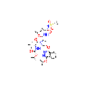 C=CC1C[C@]1(NC(=O)[C@@H]1C[C@@H](Oc2nnc(OC(C)C)c3ccccc23)CN1C(=O)[C@@H](NC(=O)OC(=C)C)C(C)(C)C)C(=O)NS(=O)(=O)C1CC1